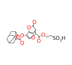 O=C1Oc2c(OC(=O)C34CC5CC(C3)C(=O)C(C5)C4)c3oc2c1c3C(=O)OCCS(=O)(=O)O